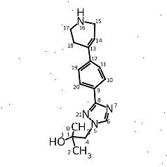 CC(C)(O)Cn1cnc(-c2ccc(C3=CCNCC3)cc2)n1